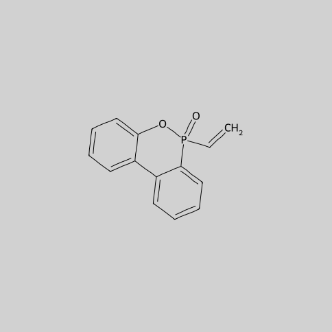 C=CP1(=O)Oc2ccccc2-c2ccccc21